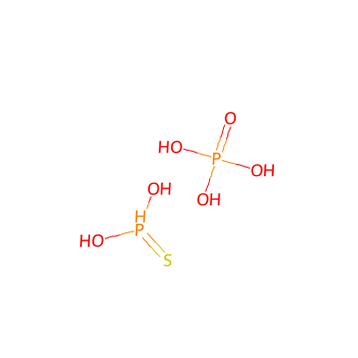 O=P(O)(O)O.O[PH](O)=S